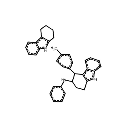 Cc1ccc(C2c3c([nH]c4ccccc34)CCC2Nc2ccccc2)cc1.c1ccc2c3c([nH]c2c1)CCCC3